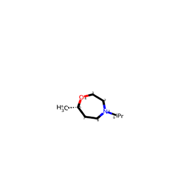 CC(C)N1CCO[C@@H](C)CC1